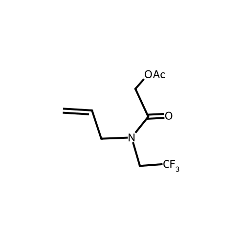 C=CCN(CC(F)(F)F)C(=O)COC(C)=O